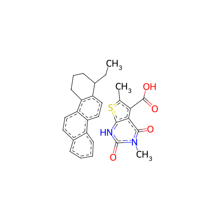 CCC1CCCc2c1ccc1c2ccc2ccccc21.Cc1sc2[nH]c(=O)n(C)c(=O)c2c1C(=O)O